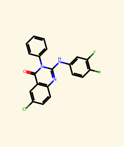 O=c1c2cc(Cl)ccc2nc(Nc2ccc(F)c(F)c2)n1-c1ccccc1